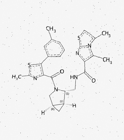 Cc1cccc(-c2sc(C)nc2C(=O)N2C[C@@H]3C[C@@H]3[C@H]2CNC(=O)c2nc3scc(C)n3c2C)c1